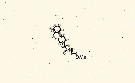 COCCNC(=O)C(C)(C)N1CCN(c2cccc(C)c2C)CC1